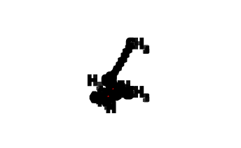 CCCCCCCCCCCCCCCCOc1cc(NS(=O)(=O)c2cc(N/N=C3/C(=O)N(c4ccccc4)N=C3C#N)ccc2OCCOC)c(O)cc1C